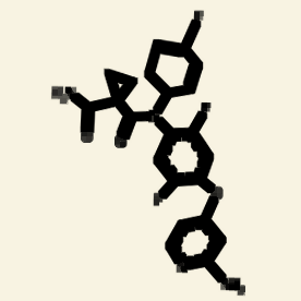 NC(=O)C1(C(=O)N(c2cc(F)c(Oc3ccnc(N)c3)cc2F)C2C=CC(F)=CC2)CC1